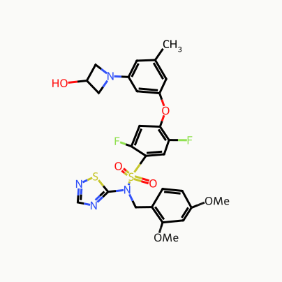 COc1ccc(CN(c2ncns2)S(=O)(=O)c2cc(F)c(Oc3cc(C)cc(N4CC(O)C4)c3)cc2F)c(OC)c1